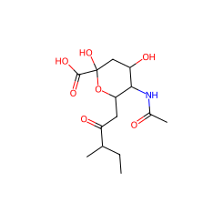 CCC(C)C(=O)CC1OC(O)(C(=O)O)CC(O)C1NC(C)=O